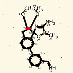 COC1CC2(Cc3ccc(-c4cccc(C=N)c4)cc3C23N=C(N)N(C)O3)CC1OC